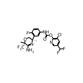 C[C@@]1(c2cc(NC(=O)Oc3ncc(C(F)F)cc3Cl)ccc2F)CO[C@@](C)(C(F)(F)F)C(N)=N1